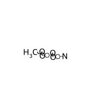 C/C=C/C(=O)O[C@H]1CC[C@H](C(=O)O[C@H]2CC[C@H](C#N)CC2)CC1